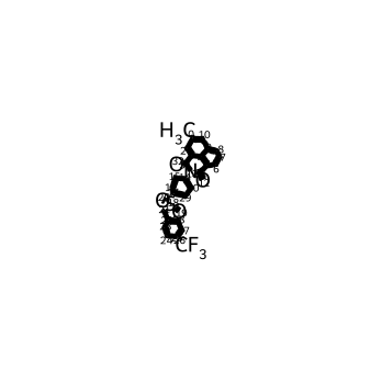 Cc1cc2c3c(cccc3c1)C(=O)N(c1ccc(S(=O)(=O)Cc3ccc(C(F)(F)F)cc3)cc1)C2=O